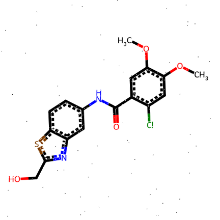 COc1cc(Cl)c(C(=O)Nc2ccc3sc(CO)nc3c2)cc1OC